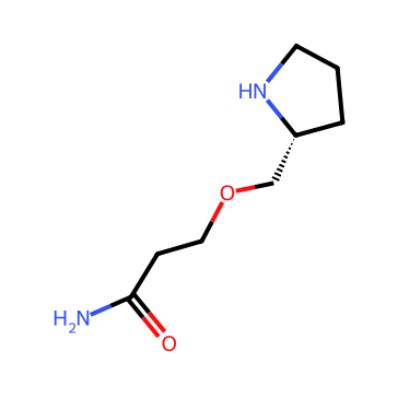 NC(=O)CCOC[C@H]1CCCN1